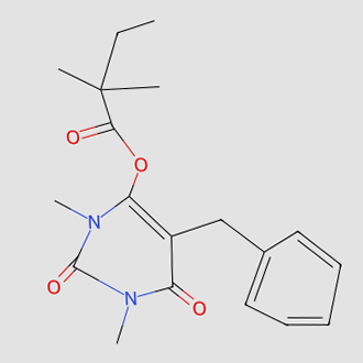 CCC(C)(C)C(=O)Oc1c(Cc2ccccc2)c(=O)n(C)c(=O)n1C